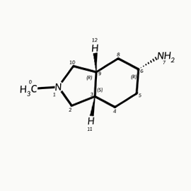 CN1C[C@H]2CC[C@@H](N)C[C@H]2C1